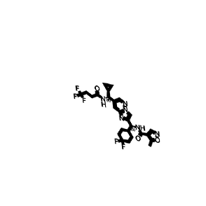 Cc1oncc1C(=O)N[C@H](c1cn2ncc([C@H](NC(=O)CCC(F)(F)F)C3CC3)cc2n1)C1CCC(F)(F)CC1